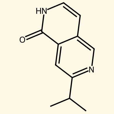 CC(C)c1cc2c(=O)[nH]ccc2cn1